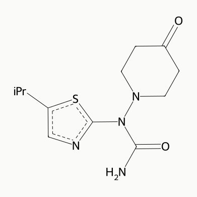 CC(C)c1cnc(N(C(N)=O)N2CCC(=O)CC2)s1